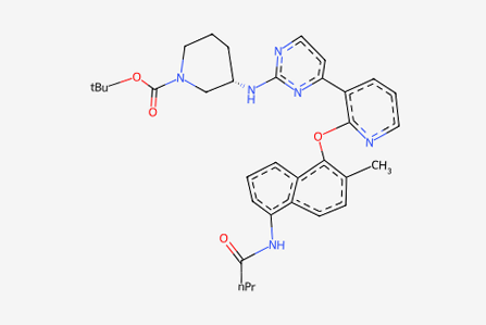 CCCC(=O)Nc1cccc2c(Oc3ncccc3-c3ccnc(N[C@H]4CCCN(C(=O)OC(C)(C)C)C4)n3)c(C)ccc12